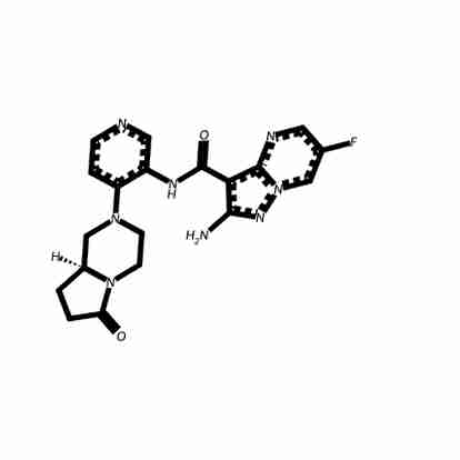 Nc1nn2cc(F)cnc2c1C(=O)Nc1cnccc1N1CCN2C(=O)CC[C@H]2C1